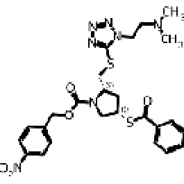 CN(C)CCn1nnnc1SC[C@@H]1C[C@H](SC(=O)c2ccccc2)CN1C(=O)OCc1ccc([N+](=O)[O-])cc1